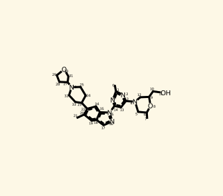 Cc1nc(N2CC(C)OC(CO)C2)cc(-n2ncc3cc(C)c(C4CCN(C5CCOC5)CC4)cc32)n1